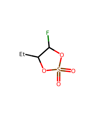 CCC1OS(=O)(=O)OC1F